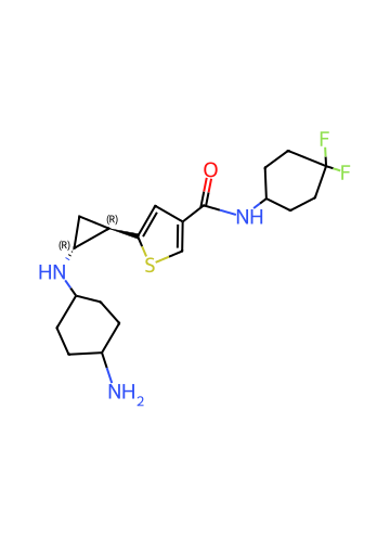 NC1CCC(N[C@@H]2C[C@H]2c2cc(C(=O)NC3CCC(F)(F)CC3)cs2)CC1